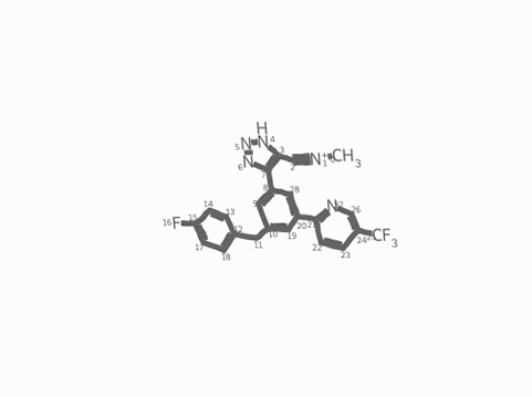 C[N+]#Cc1[nH]nnc1-c1cc(Cc2ccc(F)cc2)cc(-c2ccc(C(F)(F)F)cn2)c1